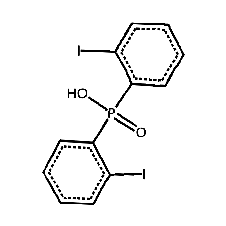 O=P(O)(c1ccccc1I)c1ccccc1I